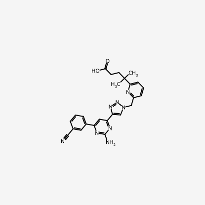 CC(C)(CCC(=O)O)c1cccc(Cn2cc(-c3cc(-c4cccc(C#N)c4)nc(N)n3)nn2)n1